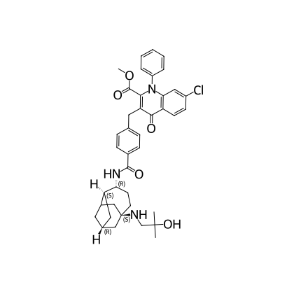 COC(=O)c1c(Cc2ccc(C(=O)N[C@@H]3CC[C@@]4(NCC(C)(C)O)CC5C[C@H](C[C@@H]53)C4)cc2)c(=O)c2ccc(Cl)cc2n1-c1ccccc1